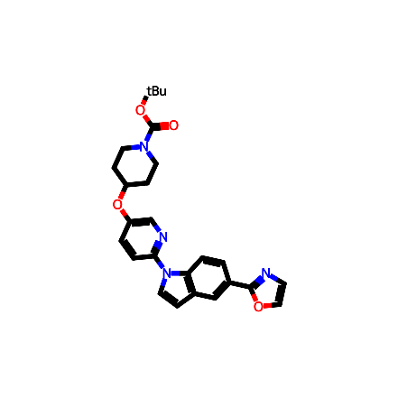 CC(C)(C)OC(=O)N1CCC(Oc2ccc(-n3ccc4cc(-c5ncco5)ccc43)nc2)CC1